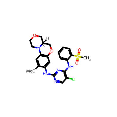 COc1cc2c(cc1Nc1ncc(Cl)c(Nc3ccccc3S(C)(=O)=O)n1)OC[C@H]1COCCN21